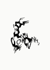 Nc1ncnc2c1ncn2Cc1cc(-c2cc(F)c(F)cc2F)ncc1N1CCCC(N)(C(O)C(F)F)C1